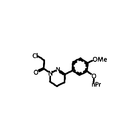 CCCOc1cc(C2=NN(C(=O)CCl)CCC2)ccc1OC